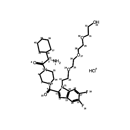 Cl.N[C@H](C(=O)N1CCN(C(=O)c2cc3cc(F)c(F)cc3n2CCOCCOCCOCCO)CC1)C1CCCCC1